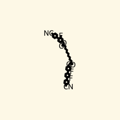 N#Cc1ccc(-c2ccc(OC(=O)CCCCCCCCCC(=O)Oc3ccc(-c4ccc(-c5ccc(C#N)cc5)c(F)c4)c(F)c3)cc2F)cc1